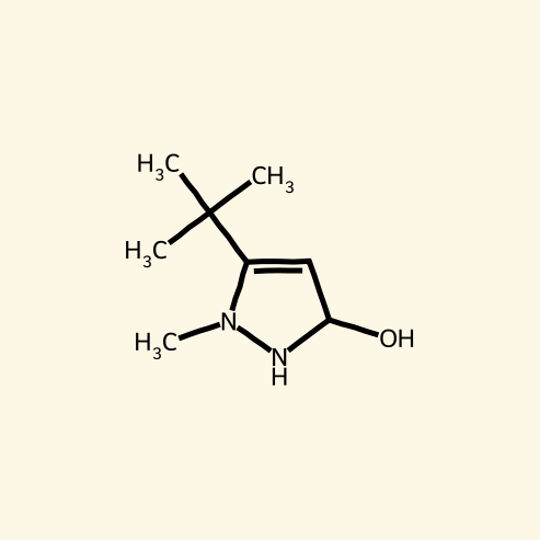 CN1NC(O)C=C1C(C)(C)C